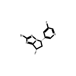 Fc1cncc([C@@H]2C[C@H](F)c3nc(Br)nn32)c1